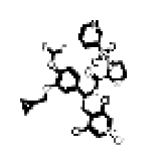 O=C(O[C@@H](Cc1c(Cl)c[n+]([O-])cc1Cl)c1ccc(OC(F)F)c(OCC2CC2)c1)[C@@H]1SCCN1S(=O)(=O)c1cccnc1